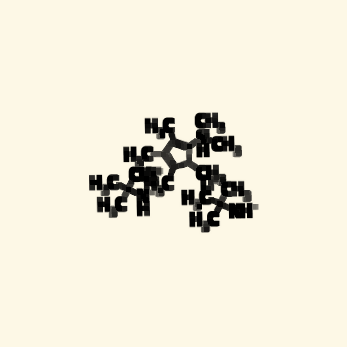 CC(C)(C)[NH-].CC(C)(C)[NH-].CC1=C(C)C(C)C([SiH](C)C)=C1C.[Li+].[Li+]